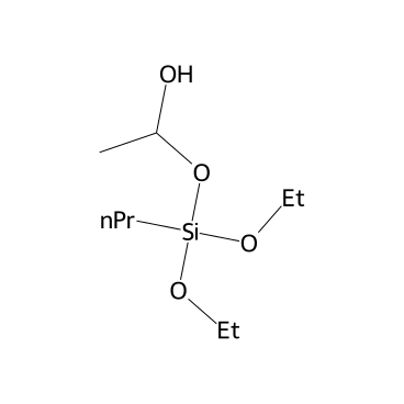 CCC[Si](OCC)(OCC)OC(C)O